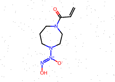 C=CC(=O)N1CCCN([N+]([O-])=NO)CC1